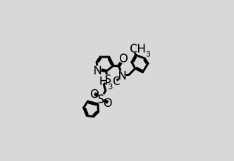 Cc1cccc(CN(C)C(=O)c2cccnc2SCCS(=O)(=O)c2ccccc2)c1